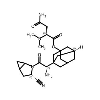 CN(C)[C@@H](CC(N)=O)C(=O)OC12CC3C[C@H](C1)CC([C@H](N)C(=O)N1C4CC4C[C@H]1C#N)(C3)C2